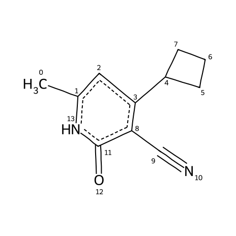 Cc1cc(C2CCC2)c(C#N)c(=O)[nH]1